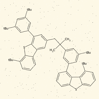 CC(C)(C)c1cc(-c2cc(CC(C)(C)c3cc(-c4cccc5sc6cccc(C(C)(C)C)c6c45)cc(C(C)(C)C)c3)cc3c2sc2c(C(C)(C)C)cccc23)cc(C(C)(C)C)c1